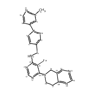 Cc1cc(-c2ccc(CNc3ncnc(N4CCc5ncncc5C4)c3F)cn2)ccn1